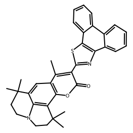 Cc1c(-c2nc3c4ccccc4c4ccccc4c3s2)c(=O)oc2c3c4c(cc12)C(C)(C)CCN4CCC3(C)C